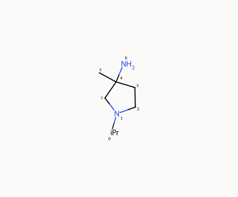 CC(C)N1CCC(C)(N)C1